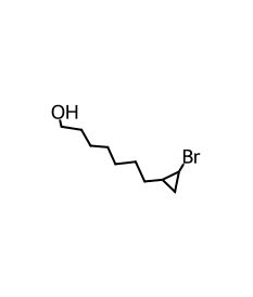 OCCCCCCCC1CC1Br